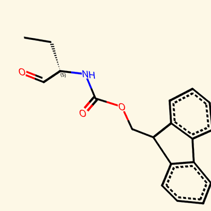 CC[C@@H](C=O)NC(=O)OCC1c2ccccc2-c2ccccc21